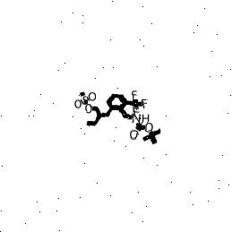 CCC(COS(C)(=O)=O)Cc1cccc(C(F)(F)F)c1CNC(=O)OC(C)(C)C